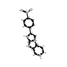 O=[N+]([O-])c1ccc(-c2cn3c(n2)sc2cnccc23)cc1